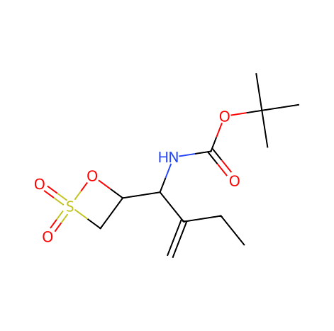 C=C(CC)C(NC(=O)OC(C)(C)C)C1CS(=O)(=O)O1